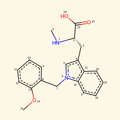 CN[C@@H](Cc1cn(Cc2ccccc2OC)c2ccccc12)C(=O)O